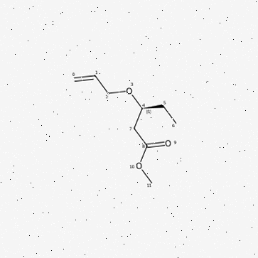 C=CCO[C@@H](CC)CC(=O)OC